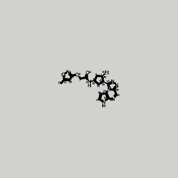 CC[C@@H]1C[C@H](NC(=O)COc2cc(C)on2)C[C@@H]1c1nnc2cnc3[nH]ccc3n12